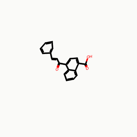 O=C(O)c1ccc(C(=O)C=Cc2ccccc2)c2ccccc12